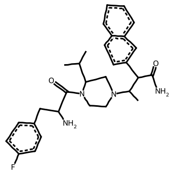 CC(C)C1CN(C(C)C(C(N)=O)c2ccc3ccccc3c2)CCN1C(=O)C(N)Cc1ccc(F)cc1